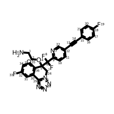 NCC(=O)OC1(C(F)(F)c2ccc(C#Cc3ccc(F)cc3)cn2)Cn2nnnc2-c2cc(F)ccc21